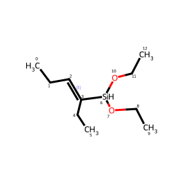 CC/C=C(\CC)[SiH](OCC)OCC